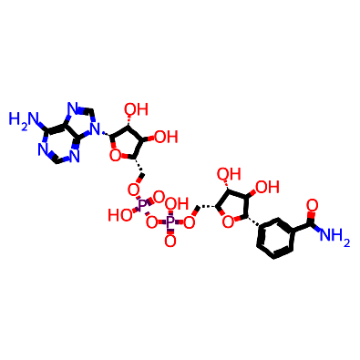 NC(=O)c1cccc([C@@H]2O[C@H](COP(=O)(O)OP(=O)(O)OC[C@@H]3O[C@H](n4cnc5c(N)ncnc54)[C@H](O)C3O)[C@H](O)C2O)c1